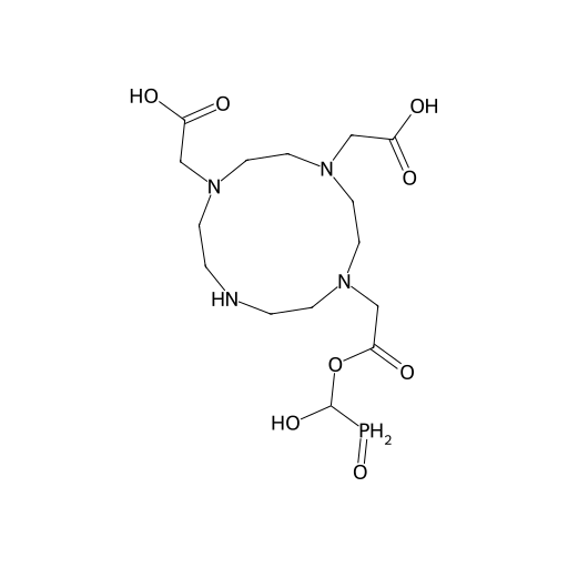 O=[PH2]C(O)OC(=O)CN1CCNCCN(CC(=O)O)CCN(CC(=O)O)CC1